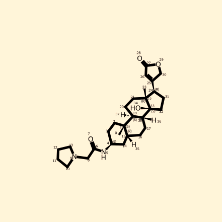 C[C@]12CC[C@H](NC(=O)CN3CCCC3)C[C@H]1CC[C@@H]1[C@@H]2CC[C@]2(C)[C@@H](C3=CC(=O)OC3)CC[C@]12O